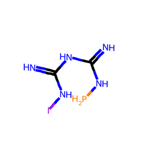 N=C(NP)NC(=N)NI